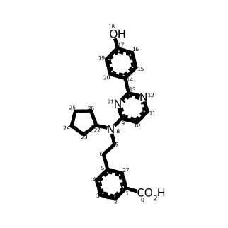 O=C(O)c1cccc(CCN(c2ccnc(-c3ccc(O)cc3)n2)C2CCCC2)c1